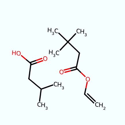 C=COC(=O)CC(C)(C)C.CC(C)CC(=O)O